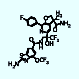 C[C@]1(C(N)=O)COc2c1cc([C@@](O)(CNC(=O)c1cc(OC(F)(F)F)c3nc(N)sc3c1)C(F)(F)F)nc2-c1ccc(F)cc1